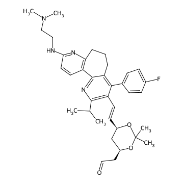 CC(C)c1nc2c(c(-c3ccc(F)cc3)c1/C=C/[C@@H]1C[C@H](CC=O)OC(C)(C)O1)CCCc1nc(NCCN(C)C)ccc1-2